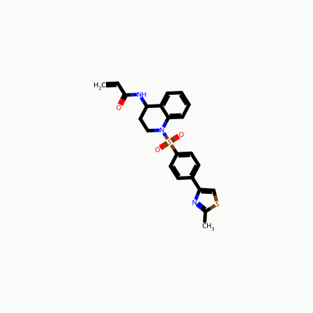 C=CC(=O)NC1CCN(S(=O)(=O)c2ccc(-c3csc(C)n3)cc2)c2ccccc21